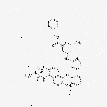 Cc1ccc2c(NS(=O)(=O)N(C)C)c(F)ccc2c1Oc1ncccc1-c1ccnc(N[C@H]2C[C@@H](C)CN(C(=O)OCc3ccccc3)C2)n1